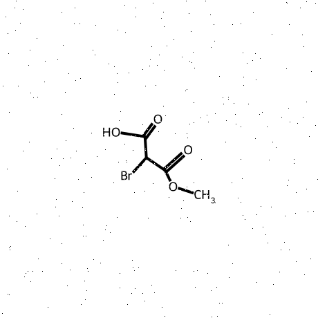 COC(=O)C(Br)C(=O)O